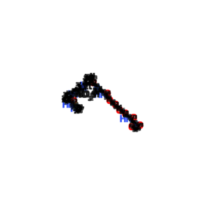 CCC1(Cn2ncc(-c3ccc(N4CCc5cccc(C(=O)Nc6nc7ccccc7s6)c5C4)nc3C(=O)O)c2C)CC2(C)CC(C)(C)CC(OCCN(CCCNC(=O)CCOCCOCCOCCOCCNC(=O)CCN3C(=O)C=CC3=O)CCS(=O)(=O)O)(C2)C1